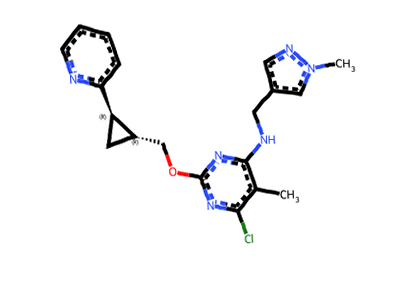 Cc1c(Cl)nc(OC[C@@H]2C[C@H]2c2ccccn2)nc1NCc1cnn(C)c1